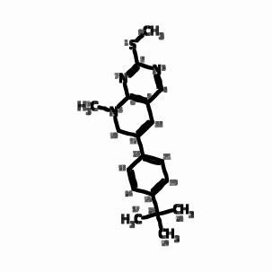 CSc1ncc2c(n1)N(C)CC(c1ccc(C(C)(C)C)cc1)=C2